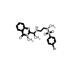 CC(NCCN(C)S(=O)(=O)c1ccc(Br)cc1)c1nc2ccccc2c(=O)n1C